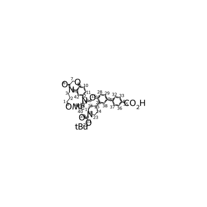 COCCCN1C(=O)COc2ccc(N(C(=O)[C@H]3CN(C(=O)OC(C)(C)C)CC[C@@H]3c3cccc(-c4ccc(C(=O)O)cc4)c3)C3CC3)cc21